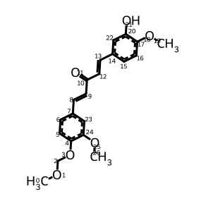 COCOc1ccc(/C=C/C(=O)/C=C/c2ccc(OC)c(O)c2)cc1OC